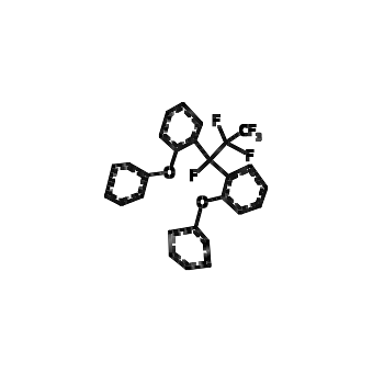 FC(F)(F)C(F)(F)C(F)(c1ccccc1Oc1ccccc1)c1ccccc1Oc1ccccc1